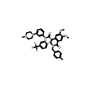 COc1cc2c(cc1OC)[C@H](C(=O)Nc1cccc(N3CCN(C)CC3)c1)[C@@H](c1ccc(C(F)(F)F)cc1)N(Cc1ccc(C)cc1)C2=O